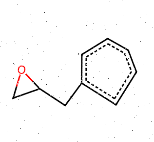 [c]1ccccc1CC1CO1